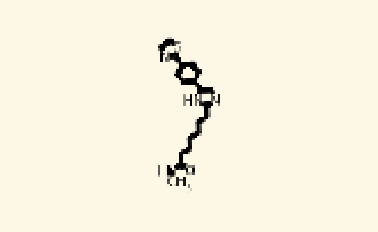 CNC(=O)CCCCCCc1ncc(-c2ccc(-c3nccs3)cc2)[nH]1